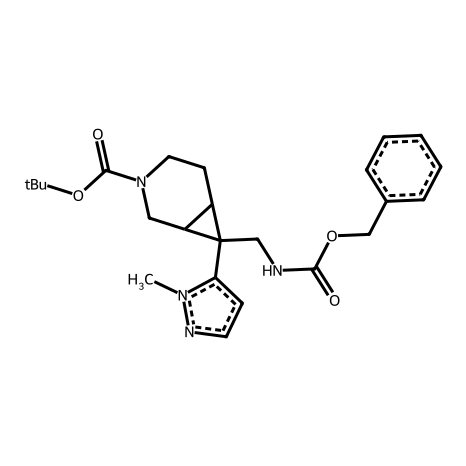 Cn1nccc1C1(CNC(=O)OCc2ccccc2)C2CCN(C(=O)OC(C)(C)C)CC21